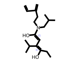 C=CC(=C)CCN(CC(C)C)/C(O)=C/C(=C(/O)CC)C(C)C